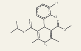 COC(=O)C1=C(C)NC(C)=C(C(=O)OC(C)C)C1c1cccc(Cl)c1Cl